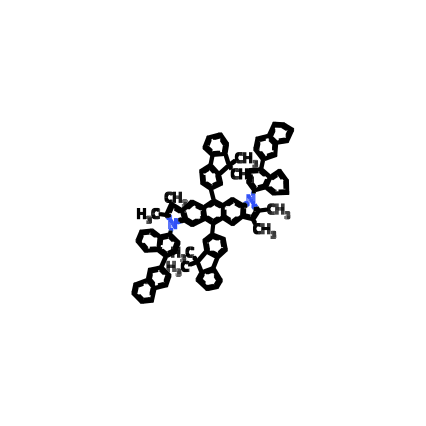 Cc1c(C)n(-c2ccc(-c3ccc4ccccc4c3)c3ccccc23)c2cc3c(-c4ccc5c(c4)C(C)(C)c4ccccc4-5)c4cc5c(C)c(C)n(-c6ccc(-c7ccc8ccccc8c7)c7ccccc67)c5cc4c(-c4ccc5c(c4)C(C)(C)c4ccccc4-5)c3cc12